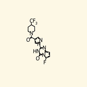 O=C(c1cnn(-c2nc3ccc(F)n3c(=O)[nH]2)c1)N1CCC(C(F)(F)F)CC1